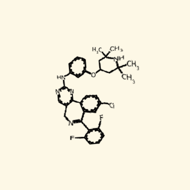 CC1(C)CC(Oc2cccc(Nc3ncc4c(n3)-c3ccc(Cl)cc3C(c3c(F)cccc3F)=NC4)c2)CC(C)(C)N1